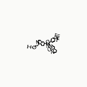 O=c1c2ncccc2ccn1-c1nc(-c2ccc3c(CCO)nccc3c2)oc1-c1ccc(C(F)(F)F)cc1